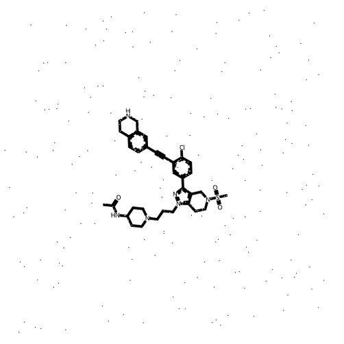 CC(=O)NC1CCN(CCCn2nc(-c3ccc(Cl)c(C#Cc4ccc5c(c4)CNCC5)c3)c3c2CCN(S(C)(=O)=O)C3)CC1